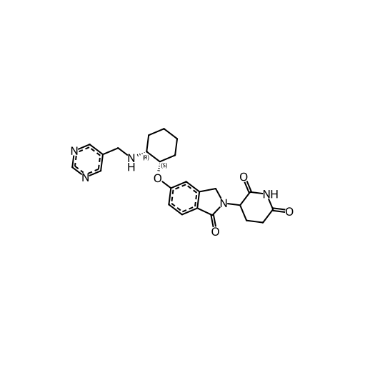 O=C1CCC(N2Cc3cc(O[C@H]4CCCC[C@H]4NCc4cncnc4)ccc3C2=O)C(=O)N1